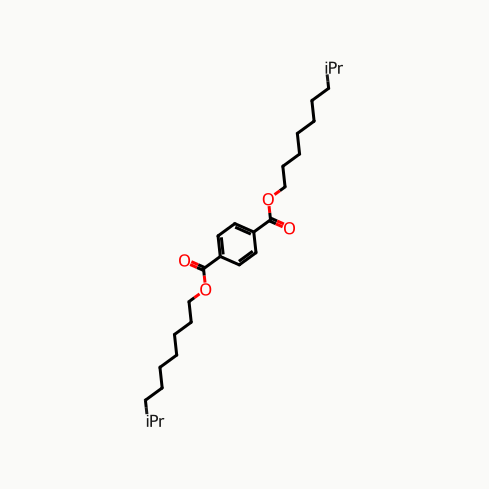 CC(C)CCCCCCCOC(=O)c1ccc(C(=O)OCCCCCCCC(C)C)cc1